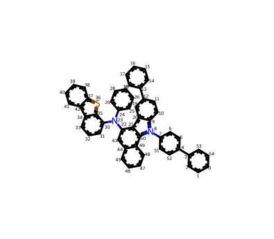 c1ccc(-c2ccc(-n3c4ccc(-c5ccccc5)cc4c4c(N(c5ccccc5)c5cccc6c5sc5ccccc56)cc5ccccc5c43)cc2)cc1